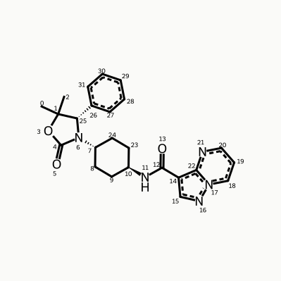 CC1(C)OC(=O)N([C@H]2CC[C@H](NC(=O)c3cnn4cccnc34)CC2)[C@H]1c1ccccc1